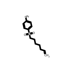 C=CCCCCCS(=O)(=O)c1ccc(CCC)cc1